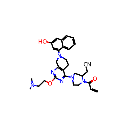 C=CC(=O)N1CCN(c2nc(OCCN(C)C)nc3c2CCN(c2cc(O)cc4ccccc24)C3)CC1CC#N